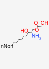 CCCCCCCCCCCCCCCC(O)C(N)COC(=O)CO